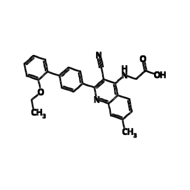 CCOc1ccccc1-c1ccc(-c2nc3cc(C)ccc3c(NCC(=O)O)c2C#N)cc1